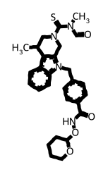 CC1CN(C(=S)N(C)C=O)Cc2c1c1ccccc1n2Cc1ccc(C(=O)NOC2CCCCO2)cc1